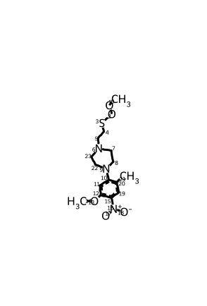 COOSCCN1CCN(c2cc(OC)c([N+](=O)[O-])cc2C)CC1